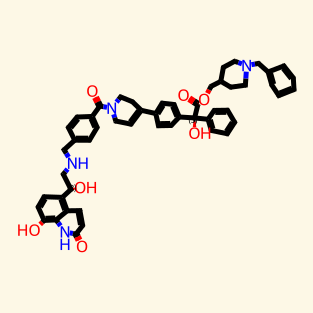 O=C(c1ccc(CNC[C@H](O)c2ccc(O)c3[nH]c(=O)ccc23)cc1)N1CC=C(c2ccc([C@](O)(C(=O)OCC3CCN(Cc4ccccc4)CC3)c3ccccc3)cc2)CC1